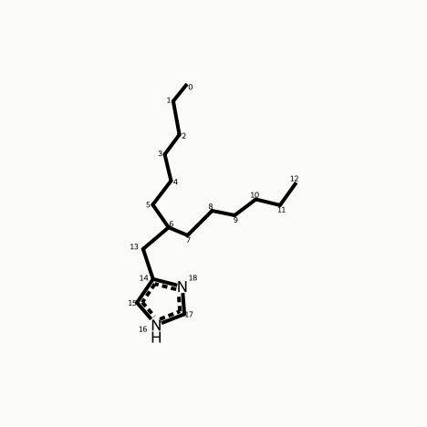 CCCCCCC(CCCCCC)Cc1c[nH]cn1